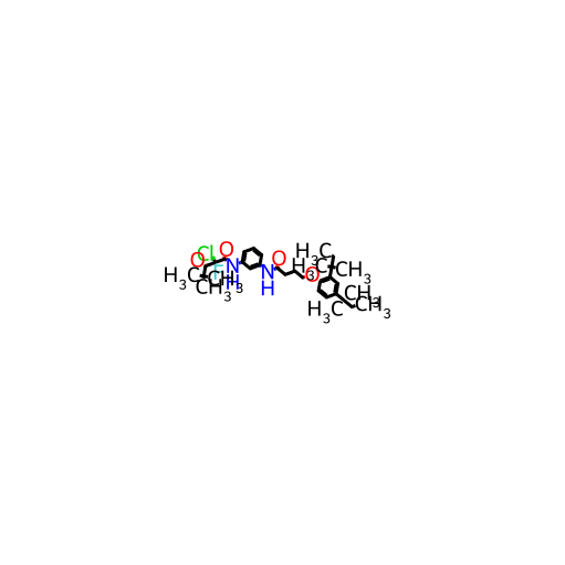 CCC(C)(C)c1ccc(OCCCC(=O)Nc2cccc(NC(=O)C(F)(Cl)C(=O)C(C)(C)C)c2)c(C(C)(C)CC)c1